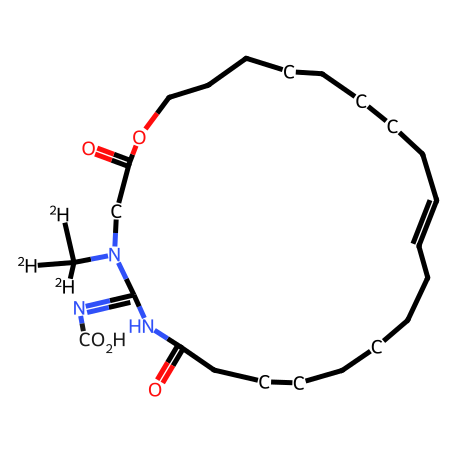 [2H]C([2H])([2H])N1CC(=O)OCCCCCCCC/C=C/CCCCCCCC(=O)N/C1=N\C(=O)O